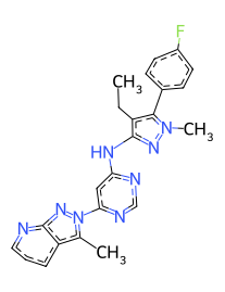 CCc1c(Nc2cc(-n3nc4ncccc4c3C)ncn2)nn(C)c1-c1ccc(F)cc1